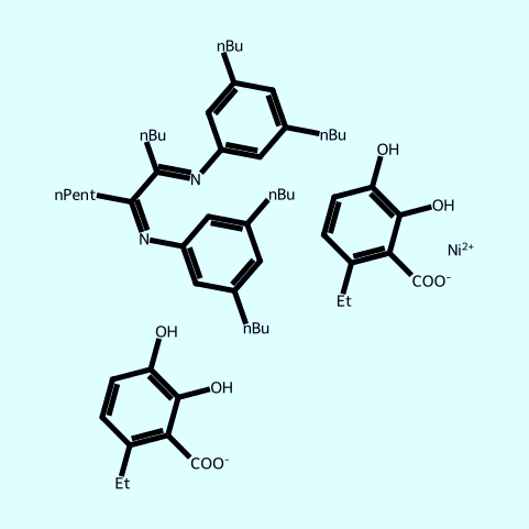 CCCCCC(=Nc1cc(CCCC)cc(CCCC)c1)C(CCCC)=Nc1cc(CCCC)cc(CCCC)c1.CCc1ccc(O)c(O)c1C(=O)[O-].CCc1ccc(O)c(O)c1C(=O)[O-].[Ni+2]